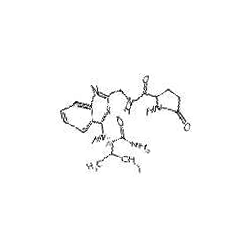 CC(C)[C@H](Nc1nc(CNC(=O)C2CCC(=O)N2)nc2ccccc12)C(N)=O